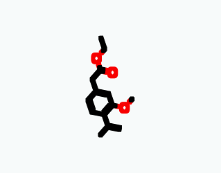 C=C(C)c1ccc(CC(=O)OCC)cc1OC